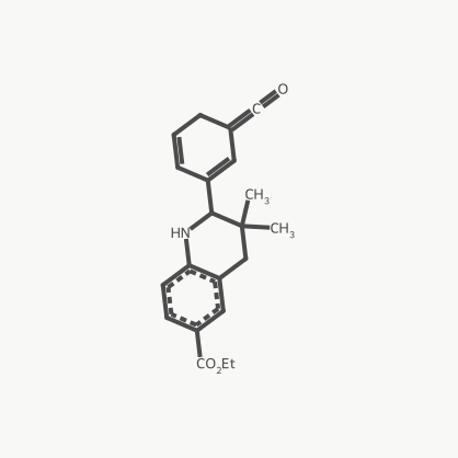 CCOC(=O)c1ccc2c(c1)CC(C)(C)C(C1=CC(=C=O)CC=C1)N2